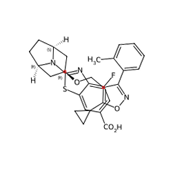 Cc1ccccc1-c1noc(C2CC2)c1CO[C@H]1C[C@H]2CC[C@@H](C1)N2c1nc2c(F)cc(C(=O)O)cc2s1